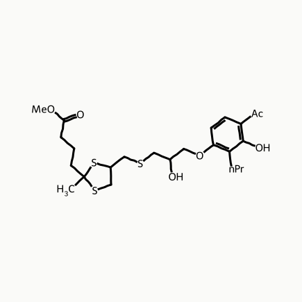 CCCc1c(OCC(O)CSCC2CSC(C)(CCCC(=O)OC)S2)ccc(C(C)=O)c1O